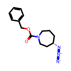 [N-]=[N+]=N[C@H]1CCCN(C(=O)OCc2ccccc2)CC1